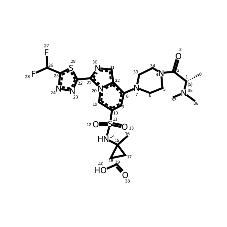 C[C@@H](C(=O)N1CCN(c2cc(S(=O)(=O)NC3(C)CC3)cn3c(-c4nnc(C(F)F)s4)ncc23)CC1)N(C)C.O=CO